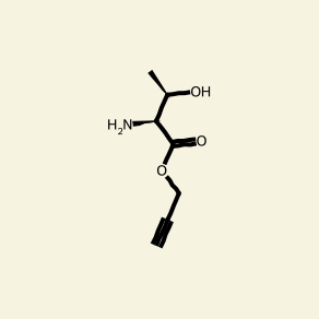 C#CCOC(=O)[C@@H](N)[C@@H](C)O